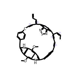 C=C/C=C1\C=C/Cc2ccc(cc2)-c2cc3c(OC)c4[nH]c(cc4c(OC)c3[nH]2)-c2ccc(cc2)\C=C/C=C(\C=C/C)c2ccc1c1nsnc21